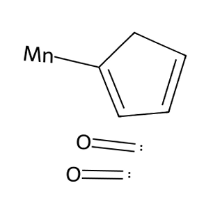 [C]=O.[C]=O.[Mn][C]1=CC=CC1